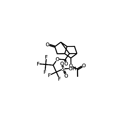 CC(=O)OC1C2CC(=O)C3C2CC1C3C(=O)OC(C(F)(F)F)C(F)(F)S(=O)(=O)O